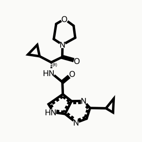 O=C(N[C@@H](C(=O)N1CCOCC1)C1CC1)c1c[nH]c2ncc(C3CC3)nc12